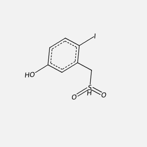 O=[SH](=O)Cc1cc(O)ccc1I